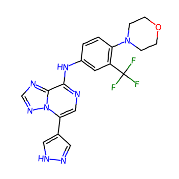 FC(F)(F)c1cc(Nc2ncc(-c3cn[nH]c3)n3ncnc23)ccc1N1CCOCC1